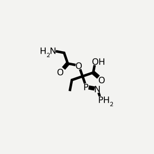 CCC(OC(=O)CN)(P=NP)C(=O)O